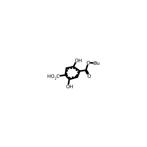 CCC(C)OC(=O)c1cc(O)c(C(=O)O)cc1O